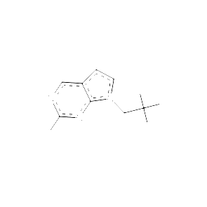 FC(F)(F)Cn1ccc2cnc(Cl)nc21